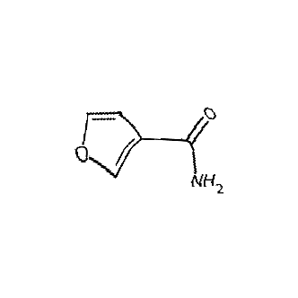 NC(=O)c1ccoc1